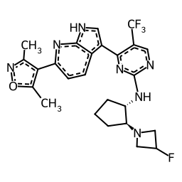 Cc1noc(C)c1-c1ccc2c(-c3nc(N[C@H]4CCC[C@@H]4N4CC(F)C4)ncc3C(F)(F)F)c[nH]c2n1